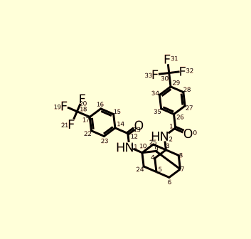 O=C(NC12CC3CC(C1)CC(NC(=O)c1ccc(C(F)(F)F)cc1)(C3)C2)c1ccc(C(F)(F)F)cc1